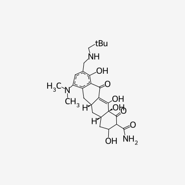 CN(C)c1cc(CNCC(C)(C)C)c(O)c2c1C[C@H]1C[C@H]3CC(O)C(C(N)=O)C(=O)[C@@]3(O)C(O)=C1C2=O